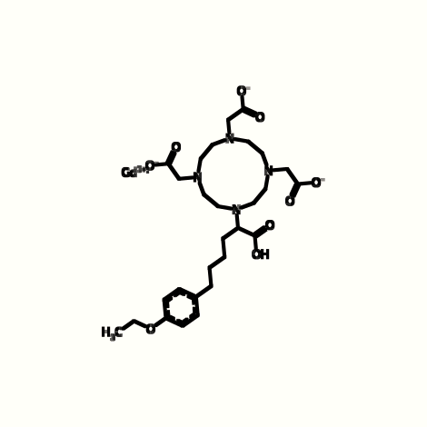 CCOc1ccc(CCCCC(C(=O)O)N2CCN(CC(=O)[O-])CCN(CC(=O)[O-])CCN(CC(=O)[O-])CC2)cc1.[Gd+3]